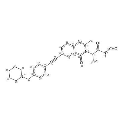 CCCC(C(=O)NC=O)n1c(C)nc2ccc(C#Cc3ccc(CN4CCCCC4)cc3)cc2c1=O